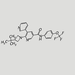 CC(C)(C)C1CN(c2ncc(C(=O)Nc3ccc(OC(F)(F)F)cc3)cc2-c2cccnc2)C1